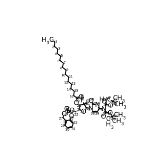 CCCCCCCCCCCCCCCCCC(=O)O[C@@H]1[C@@H](COP2(=O)OCc3ccccc3O2)O[C@@H](n2ccc(N(C(=O)OC(C)(C)C)C(=O)OC(C)(C)C)nc2=O)C1(F)F